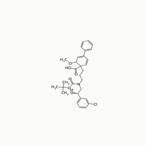 COC1C=C(c2ccccc2)C=CC1(CCCN(C[C@H](O)c1cccc(Cl)c1)C(=O)OC(C)(C)C)C(=O)O